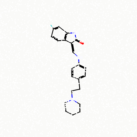 O=C1Nc2cc(F)ccc2/C1=C/Nc1ccc(CCN2CCCCC2)cc1